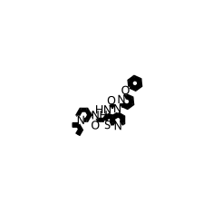 C=CC(=C)N1CCC[C@@H](NC(=O)c2sc3nccc4c3c2NC(=O)N4c2cccc(Oc3ccccc3)n2)C1